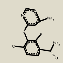 CC[C@@H](N)c1ccc(Cl)c(Oc2cc(N)ncn2)c1F